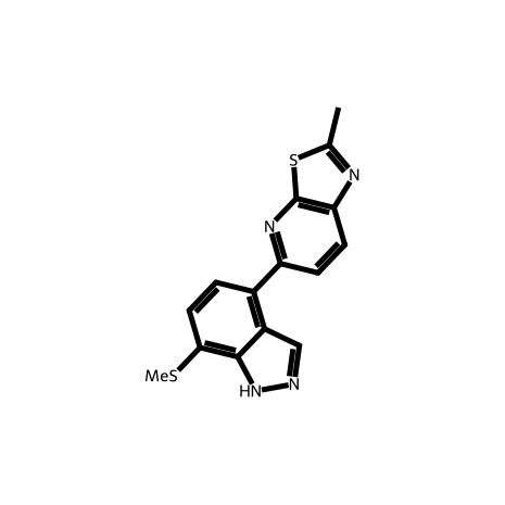 CSc1ccc(-c2ccc3nc(C)sc3n2)c2cn[nH]c12